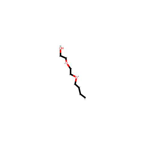 C[CH]CCOCCOCCO